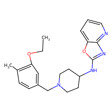 CCOc1cc(CN2CCC(Nc3nc4ncccc4o3)CC2)ccc1C